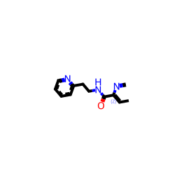 C=N/C(=C\C)C(=O)NCCc1ccccn1